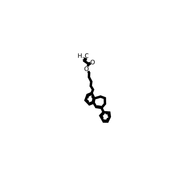 C=CC(=O)OCCCCCc1cccc2c1CCCC(c1ccccc1)=C2